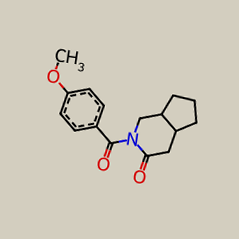 COc1ccc(C(=O)N2CC3CCCC3CC2=O)cc1